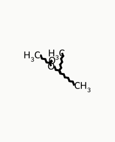 CCCCCCC/C=C(\CCCCCC)CCOC(=O)CCCCC